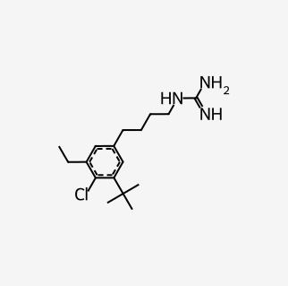 CCc1cc(CCCCNC(=N)N)cc(C(C)(C)C)c1Cl